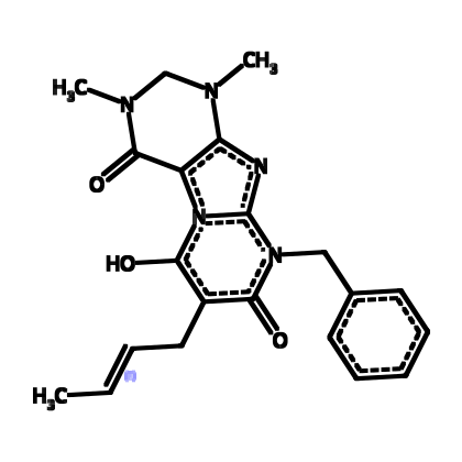 C/C=C/Cc1c(O)n2c3c(nc2n(Cc2ccccc2)c1=O)N(C)CN(C)C3=O